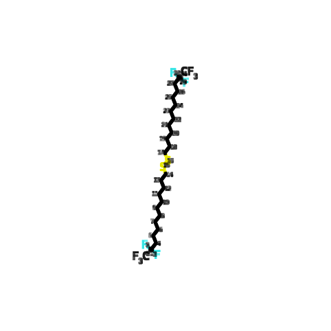 FC(F)(F)C(F)(F)CCCCCCCCCCCSSCCCCCCCCCCCC(F)(F)C(F)(F)F